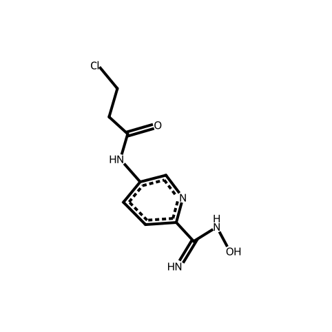 N=C(NO)c1ccc(NC(=O)CCCl)cn1